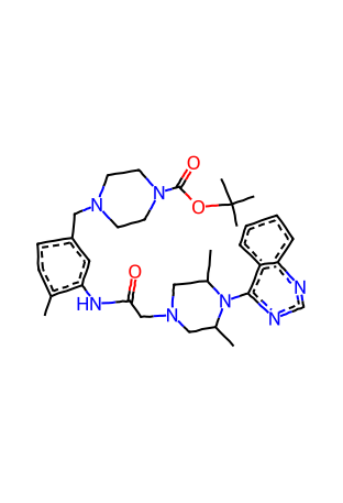 Cc1ccc(CN2CCN(C(=O)OC(C)(C)C)CC2)cc1NC(=O)CN1CC(C)N(c2ncnc3ccccc23)C(C)C1